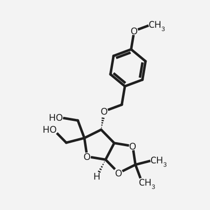 COc1ccc(CO[C@@H]2C3OC(C)(C)O[C@H]3OC2(CO)CO)cc1